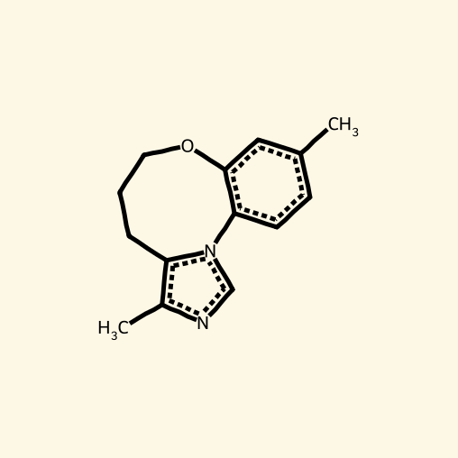 Cc1ccc2c(c1)OCCCc1c(C)ncn1-2